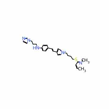 C/C=C\C(=N\C)SCCCC[n+]1ccc(/C=C/c2ccc(NCCCn3ccnc3)cc2)cc1